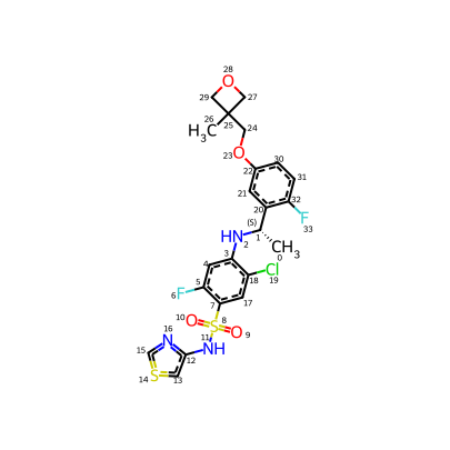 C[C@H](Nc1cc(F)c(S(=O)(=O)Nc2cscn2)cc1Cl)c1cc(OCC2(C)COC2)ccc1F